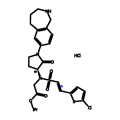 CC(C)OC(=O)CN([C@H]1CCN(c2ccc3c(c2)CCCNC3)C1=O)S(=O)(=O)/C=C/c1ccc(Cl)s1.Cl